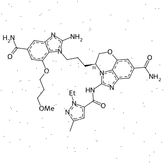 CCn1nc(C)cc1C(=O)Nc1nc2cc(C(N)=O)cc3c2n1[C@@H](CCCn1c(N)nc2cc(C(N)=O)cc(OCCCOC)c21)CO3